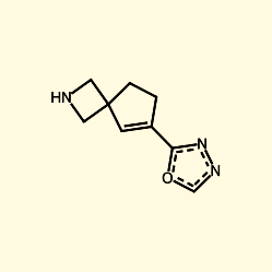 C1=C(c2nnco2)CCC12CNC2